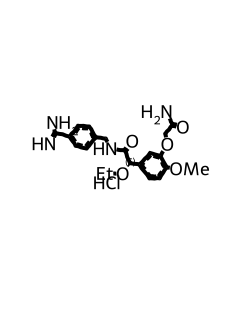 CCO[C@H](C(=O)NCc1ccc(C(=N)N)cc1)c1ccc(OC)c(OCC(N)=O)c1.Cl